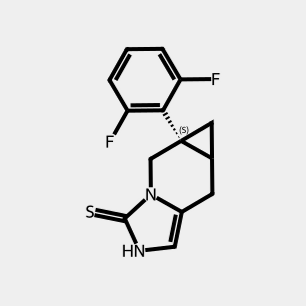 Fc1cccc(F)c1[C@]12CC1Cc1c[nH]c(=S)n1C2